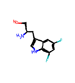 NC(CO)Cc1c[nH]c2c(F)cc(F)cc12